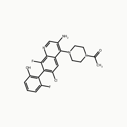 CC(=O)N1CCN(c2c(N)cnc3c(F)c(-c4c(O)cccc4F)c(Cl)cc23)CC1